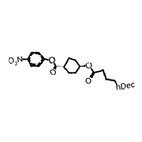 CCCCCCCCCCCCCC(=O)O[C@H]1CC[C@H](C(=O)Oc2ccc([N+](=O)[O-])cc2)CC1